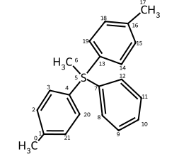 Cc1ccc(S(C)(c2ccccc2)c2ccc(C)cc2)cc1